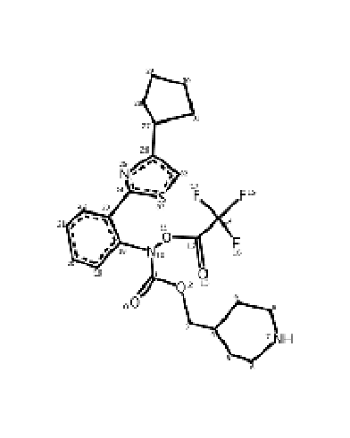 O=C(OCC1CCNCC1)N(OC(=O)C(F)(F)F)c1ccccc1-c1nc(C2CCCC2)cs1